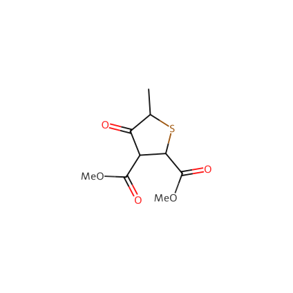 COC(=O)C1SC(C)C(=O)C1C(=O)OC